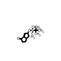 CC(C)(C)[Si](C)(C)OC1C=C2C(=O)CCC2C1